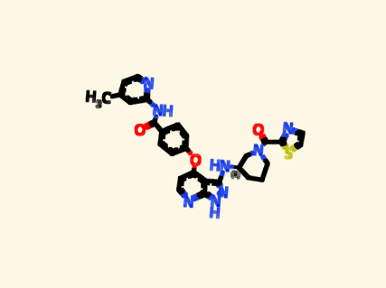 Cc1ccnc(NC(=O)c2ccc(Oc3ccnc4[nH]nc(N[C@@H]5CCCN(C(=O)c6nccs6)C5)c34)cc2)c1